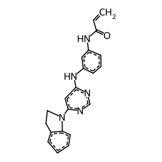 C=CC(=O)Nc1cccc(Nc2cc(N3CCc4ccccc43)ncn2)c1